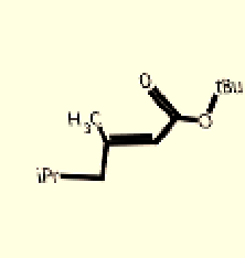 C/C(=C\C(=O)OC(C)(C)C)CC(C)C